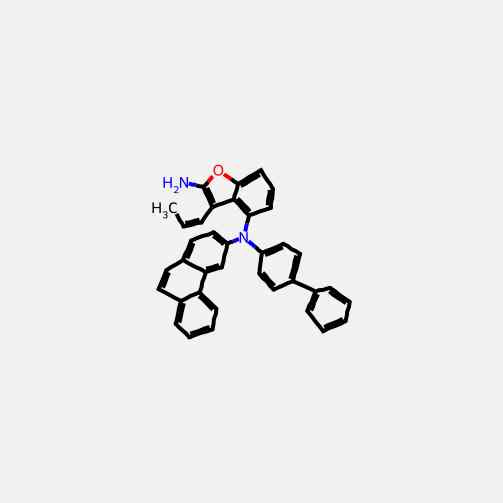 C/C=C\c1c(N)oc2cccc(N(c3ccc(-c4ccccc4)cc3)c3ccc4ccc5ccccc5c4c3)c12